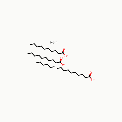 CCCCCC.CCCCCCCCCC(=O)[O-].CCCCCCCCCC(=O)[O-].CCCCCCCCCC(=O)[O-].[Nd+3]